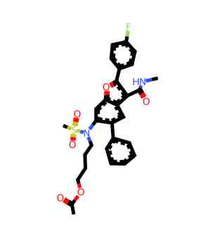 CNC(=O)c1c(-c2ccc(F)cc2)oc2cc(N(CCCCOC(C)=O)S(C)(=O)=O)c(-c3ccccc3)cc12